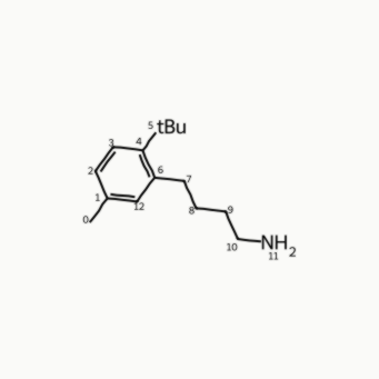 Cc1ccc(C(C)(C)C)c(CCCCN)c1